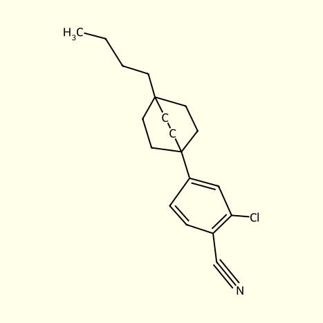 CCCCC12CCC(c3ccc(C#N)c(Cl)c3)(CC1)CC2